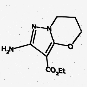 CCOC(=O)c1c(N)nn2c1OCCC2